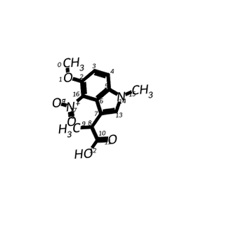 COc1ccc2c(c(C(C)C(=O)O)cn2C)c1[N+](=O)[O-]